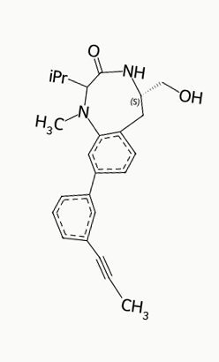 CC#Cc1cccc(-c2ccc3c(c2)N(C)C(C(C)C)C(=O)N[C@H](CO)C3)c1